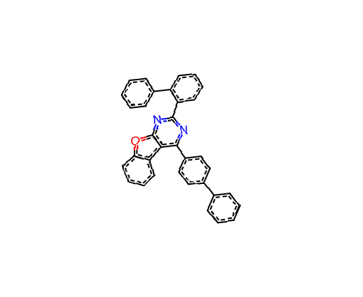 c1ccc(-c2ccc(-c3nc(-c4ccccc4-c4ccccc4)nc4oc5ccccc5c34)cc2)cc1